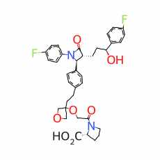 O=C(O)[C@H]1CCCN1C(=O)COC1(CCc2ccc([C@@H]3[C@@H](CC[C@H](O)c4ccc(F)cc4)C(=O)N3c3ccc(F)cc3)cc2)COC1